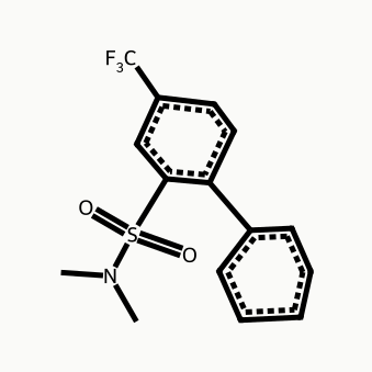 CN(C)S(=O)(=O)c1cc(C(F)(F)F)ccc1-c1ccccc1